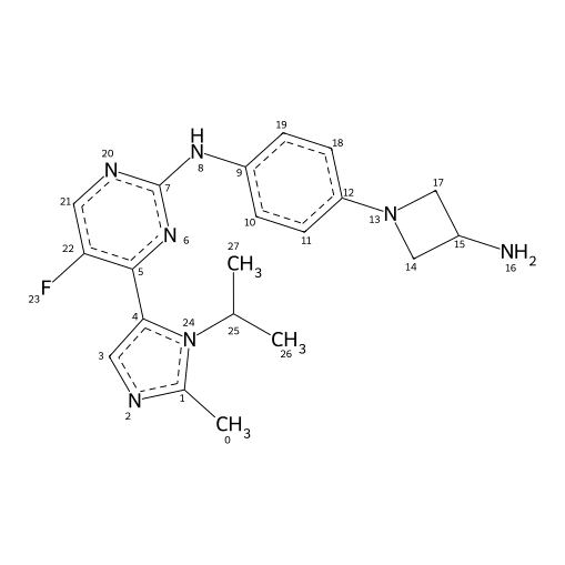 Cc1ncc(-c2nc(Nc3ccc(N4CC(N)C4)cc3)ncc2F)n1C(C)C